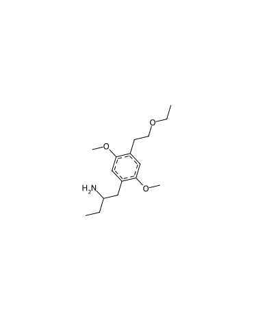 CCOCCc1cc(OC)c(CC(N)CC)cc1OC